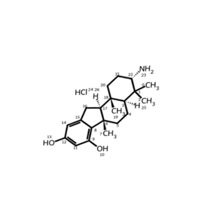 CC1(C)[C@H]2CC[C@]3(C)c4c(O)cc(O)cc4C[C@H]3[C@]2(C)CC[C@@H]1N.Cl